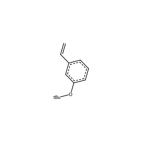 C=Cc1cccc(OC(C)(C)C)c1